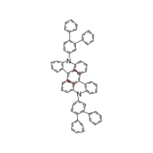 c1ccc(-c2ccc(N(c3ccccc3)c3ccccc3-c3ccc(-c4ccccc4N(c4ccccc4)c4ccc(-c5ccccc5)c(-c5ccccc5)c4)cc3)cc2-c2ccccc2)cc1